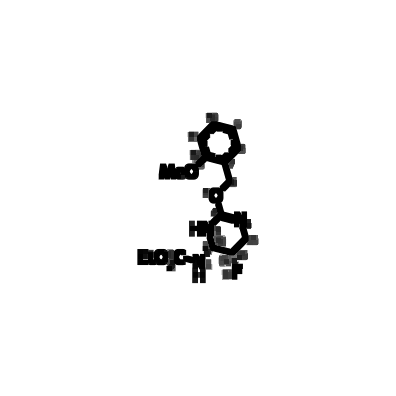 CCOC(=O)N[C@@H]1NC(OCc2ccccc2OC)=NC[C@@H]1F